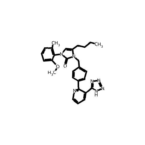 CCCCc1cn(-c2c(C)cccc2OC)c(=O)n1Cc1ccc(-c2ncccc2-c2nnn[nH]2)cc1